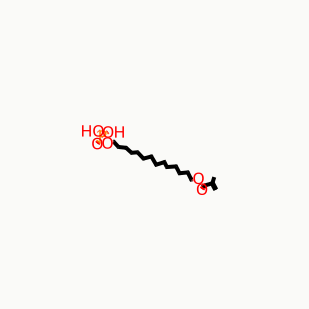 C=C(C)C(=O)OCCCCCCCCCCCCCCOP(=O)(O)O